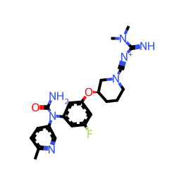 Cc1ccc(N(C(N)=O)c2cc(F)cc(O[C@@H]3CCCN(C#[N+]C(=N)N(C)C)C3)c2)cn1